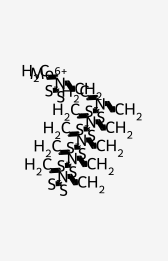 C=CCN(CC=C)C(=S)[S-].C=CCN(CC=C)C(=S)[S-].C=CCN(CC=C)C(=S)[S-].C=CCN(CC=C)C(=S)[S-].C=CCN(CC=C)C(=S)[S-].C=CCN(CC=C)C(=S)[S-].[Mo+6]